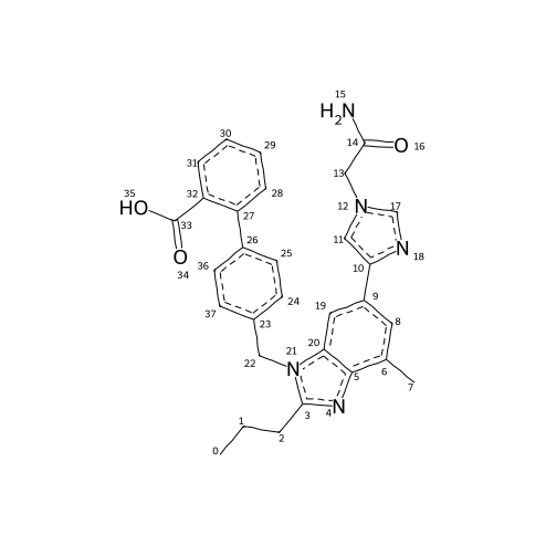 CCCc1nc2c(C)cc(-c3cn(CC(N)=O)cn3)cc2n1Cc1ccc(-c2ccccc2C(=O)O)cc1